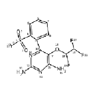 CC(C)S(=O)(=O)c1ccccc1-c1nc(N)nc(N)c1OC(F)C(F)F